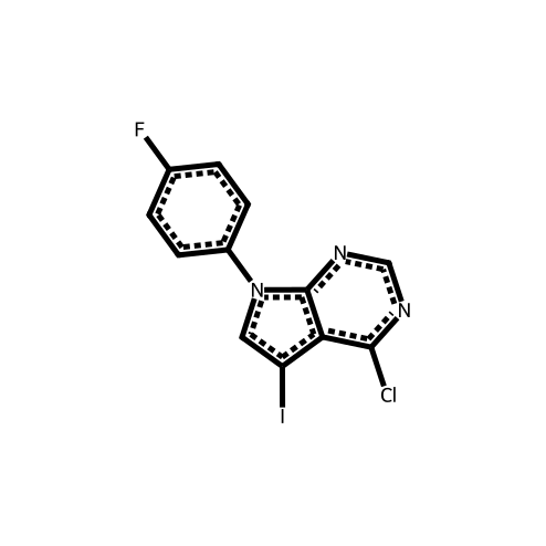 Fc1ccc(-n2cc(I)c3c(Cl)ncnc32)cc1